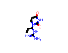 C=CC(NC(=N)N)n1ccc(=O)[nH]c1=O